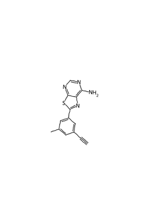 C#Cc1cc(C)cc(-c2nc3c(N)ncnc3s2)c1